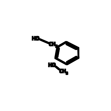 CO.CO.c1ccccc1